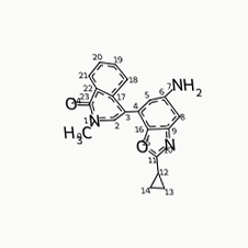 Cn1cc(-c2cc(N)cc3nc(C4CC4)oc23)c2ccccc2c1=O